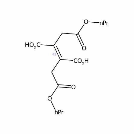 CCCOC(=O)C/C(C(=O)O)=C(/CC(=O)OCCC)C(=O)O